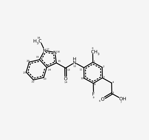 Cc1cc(CC(=O)O)c(F)cc1NC(=O)c1nn(C)c2ccccc12